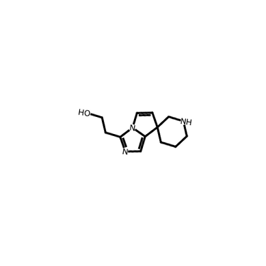 OCCc1ncc2n1C=CC21CCCNC1